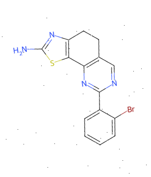 Nc1nc2c(s1)-c1nc(-c3ccccc3Br)ncc1CC2